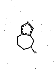 CC(C)N1CCCn2cncc2C1